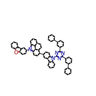 c1ccc(-c2cccc(-c3nc(-c4cccc(-c5ccccc5)c4)nc(-n4c5ccccc5c5cc(-c6ccc7c8c6ccc6cccc(c68)n7-c6ccc7oc8ccccc8c7c6)ccc54)n3)c2)cc1